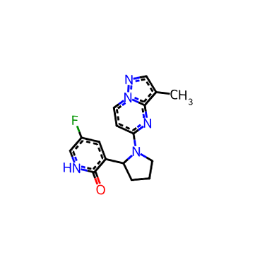 Cc1cnn2ccc(N3CCCC3c3cc(F)c[nH]c3=O)nc12